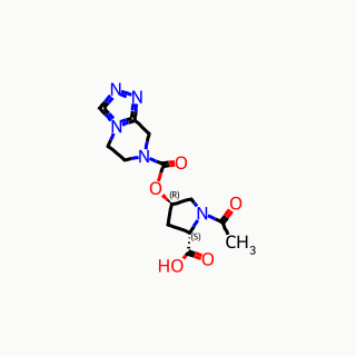 CC(=O)N1C[C@H](OC(=O)N2CCn3cnnc3C2)C[C@H]1C(=O)O